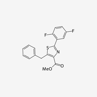 COC(=O)c1nc(-c2cc(F)ccc2F)sc1Cc1ccccc1